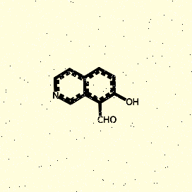 O=Cc1c(O)ccc2ccncc12